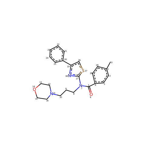 Cc1ccc(C(=O)N(CCCN2CCOCC2)c2nc(-c3ccccc3)cs2)cc1